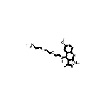 COc1ccc2nc3[nH]nc(C)c3c(NCCOCCOCCN)c2c1